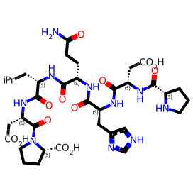 CC(C)C[C@H](NC(=O)[C@H](CCC(N)=O)NC(=O)[C@H](Cc1c[nH]cn1)NC(=O)[C@H](CC(=O)O)NC(=O)[C@@H]1CCCN1)C(=O)N[C@@H](CC(=O)O)C(=O)N1CCC[C@H]1C(=O)O